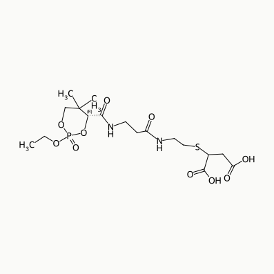 CCOP1(=O)OCC(C)(C)[C@H](C(=O)NCCC(=O)NCCSC(CC(=O)O)C(=O)O)O1